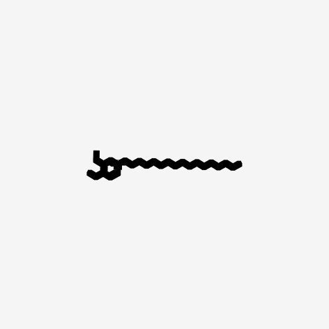 CCCCCCCCCCCCCCCCC[n+]1ccc(CC)c(CC)c1